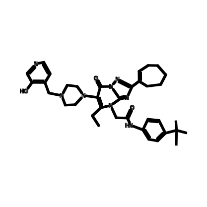 CCc1c(N2CCN(Cc3ccncc3O)CC2)c(=O)n2nc(C3=CCCCCC3)nc2n1CC(=O)Nc1ccc(C(C)(C)C)cc1